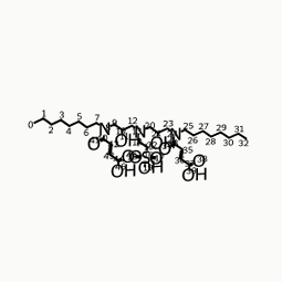 CCCCCCCCN(CC(O)CN(CCS(=O)(=O)O)CC(O)CN(CCCCCCCC)C(=O)C=CC(=O)O)C(=O)C=CC(=O)O